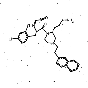 NCCC[C@H]1CN(CCc2ccc3ccccc3c2)CCN1C(=O)[C@@H](Cc1ccc(Cl)cc1Cl)/N=C\B=O